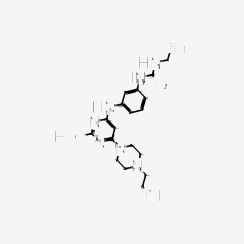 Cc1nc(Nc2cccc(NC(=O)NCC(C)C)c2)cc(N2CCN(CCO)CC2)n1